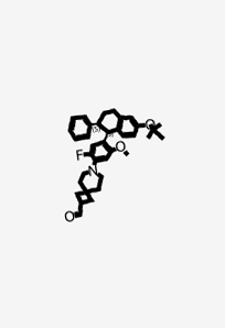 COc1cc(N2CCC3(CC2)CC(C=O)C3)c(F)cc1[C@@H]1c2ccc(OC(C)(C)C)cc2CC[C@@H]1c1ccccc1